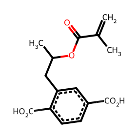 C=C(C)C(=O)OC(C)Cc1cc(C(=O)O)ccc1C(=O)O